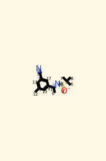 C/C(=N\[S@+]([O-])C(C)(C)C)c1cc(C)cc(C#N)c1